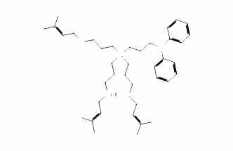 CC(C)=CC[SiH2]CCC[Si](CCC[SiH2]CC=C(C)C)(CCC[SiH2]CC=C(C)C)CCCP(c1ccccc1)c1ccccc1